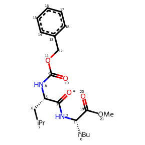 CCCC[C@H](NC(=O)[C@H](CC(C)C)NC(=O)OCc1ccccc1)C(=O)OC